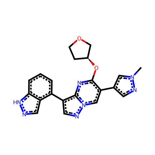 Cn1cc(-c2cn3ncc(-c4cccc5[nH]ncc45)c3nc2O[C@H]2CCOC2)cn1